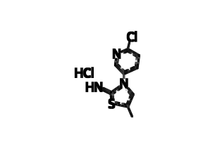 Cc1cn(-c2ccc(Cl)nc2)c(=N)s1.Cl